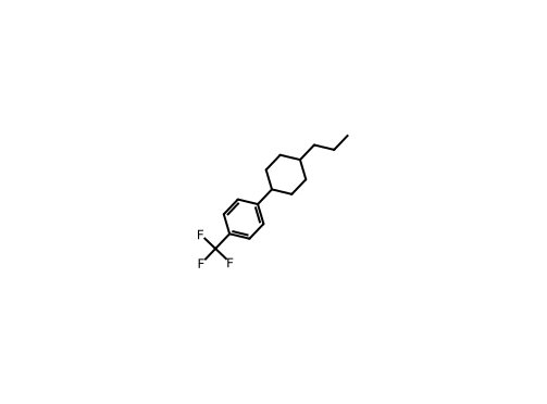 CCCC1CCC(c2ccc(C(F)(F)F)cc2)CC1